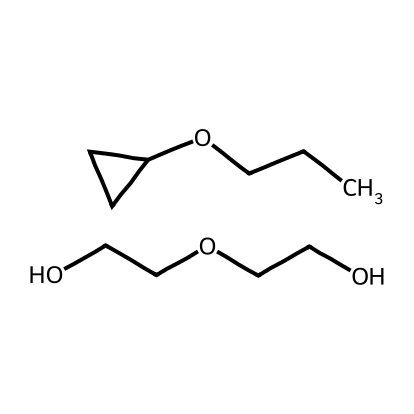 CCCOC1CC1.OCCOCCO